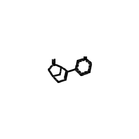 C1=C(c2cccnc2)C2CC(C1)CN2